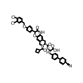 N#Cc1ccc(-c2ccc(C[C@H](NC(=O)[C@@H]3Cc4cc5c(cc4CN3C(=O)C3CCC3)OC(c3ccc(OCc4ccc(Cl)c(Cl)c4)cc3)C(=O)N5)C(=O)O)cc2)cc1